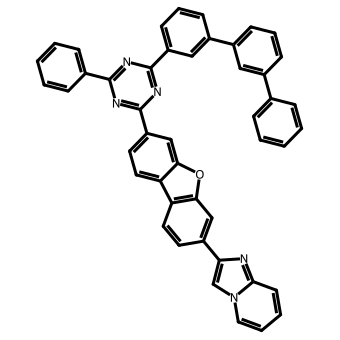 c1ccc(-c2cccc(-c3cccc(-c4nc(-c5ccccc5)nc(-c5ccc6c(c5)oc5cc(-c7cn8ccccc8n7)ccc56)n4)c3)c2)cc1